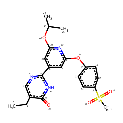 CCc1cnc(-c2cc(Oc3ccc(S(C)(=O)=O)cc3)nc(OC(C)C)c2)[nH]c1=O